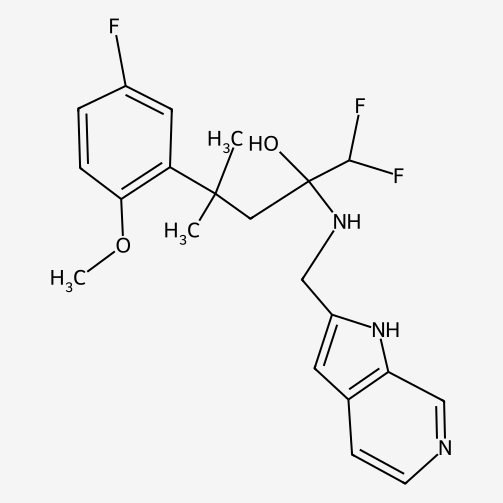 COc1ccc(F)cc1C(C)(C)CC(O)(NCc1cc2ccncc2[nH]1)C(F)F